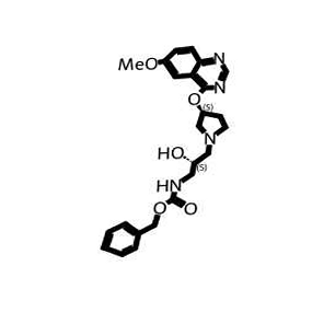 COc1ccc2ncnc(O[C@H]3CCN(C[C@@H](O)CNC(=O)OCc4ccccc4)C3)c2c1